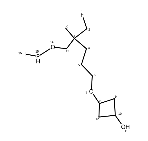 CC(CF)(CCCOC1CC(O)C1)COPI